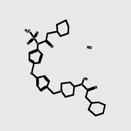 CCCN(C(=O)CC1CCCCC1)C1CCN(Cc2ccc(Oc3ccc(N(C(=O)CC4CCCCC4)S(C)(=O)=O)cc3)cc2)CC1.Cl